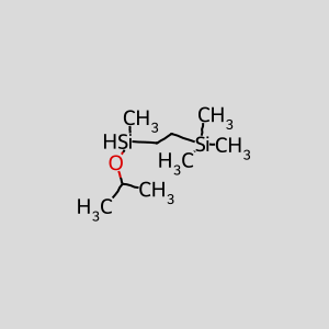 CC(C)O[SiH](C)CC[Si](C)(C)C